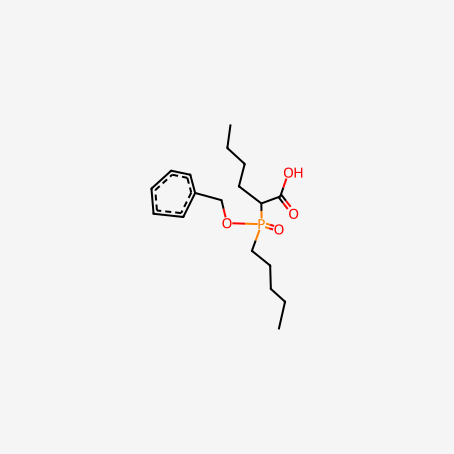 CCCCCP(=O)(OCc1ccccc1)C(CCCC)C(=O)O